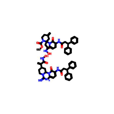 C=C(C(=O)NO)C1CCN(C(=N)N)C(n2c(C)ccc(NC(=O)CC(c3ccccc3)c3ccccc3)c2=O)C1.C=C1CCN(C(=O)OC(C)(C)C)C(CC(=O)NO)(n2c(C)ccc(NC(=O)CC(c3ccccc3)c3ccccc3)c2=O)C1